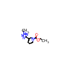 CCOC(=O)N1CCC=C(c2nnn(C)n2)C1